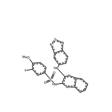 COc1ccc(S(=O)(=O)Nc2nc3ccccc3nc2Nc2ccc3nsnc3c2)cc1F